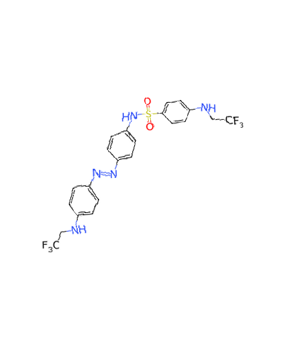 O=S(=O)(Nc1ccc(N=Nc2ccc(NCC(F)(F)F)cc2)cc1)c1ccc(NCC(F)(F)F)cc1